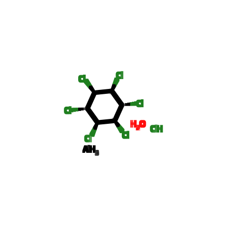 Cl.Cl[C@H]1[C@H](Cl)[C@@H](Cl)[C@@H](Cl)[C@H](Cl)[C@H]1Cl.O.[AlH3]